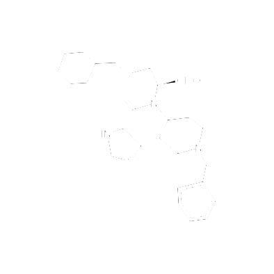 O=C[C@H](CSCC1CCCCC1)N(C(=O)[C@@H]1CSCN1)C1CCN(Cc2ccccc2)CC1